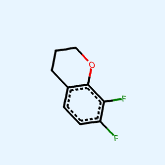 Fc1ccc2c(c1F)OCCC2